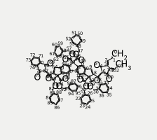 C=C/C=C1/C(=O)/C(=C\C2=Cc3cc4c(cc3C2(C(=O)OCc2ccccc2)C(=O)OCc2ccccc2)-c2cc3c(cc2C4(C(=O)OCc2ccccc2)C(=O)OCc2ccccc2)C=C(C=C2C(=O)c4ccccc4C2=O)C3(C(=O)OCc2ccccc2)C(=O)OCc2ccccc2)C(=O)/C1=C/C